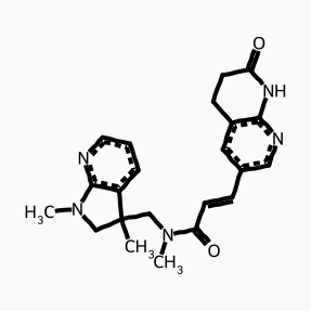 CN(CC1(C)CN(C)c2ncccc21)C(=O)C=Cc1cnc2c(c1)CCC(=O)N2